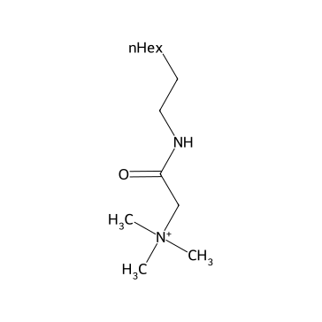 CCCCCCCCNC(=O)C[N+](C)(C)C